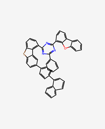 c1ccc(-c2nc(-c3cccc4c3oc3ccccc34)nc(-c3cccc4sc5ccc(-c6ccc(-c7cccc8ccccc78)cc6)cc5c34)n2)cc1